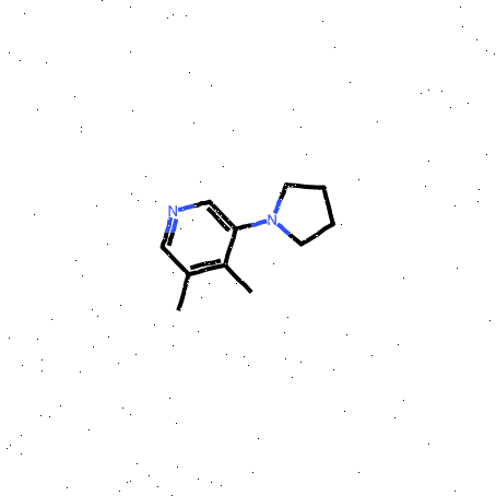 Cc1cncc(N2CCCC2)c1C